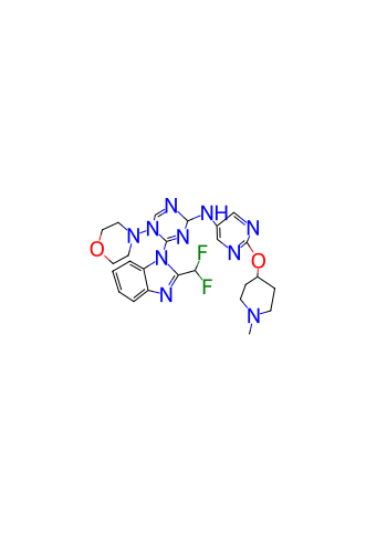 CN1CCC(Oc2ncc(NC3N=CN(N4CCOCC4)C(n4c(C(F)F)nc5ccccc54)=N3)cn2)CC1